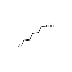 CC(=O)/C=C/CCCC=O